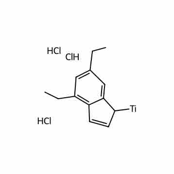 CCc1cc(CC)c2c(c1)[CH]([Ti])C=C2.Cl.Cl.Cl